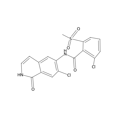 CS(=O)(=O)c1cccc(Cl)c1C(=O)Nc1cc2cc[nH]c(=O)c2cc1Cl